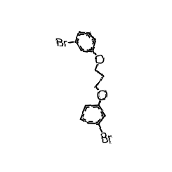 Brc1cccc(OCCCOc2cccc(Br)c2)c1